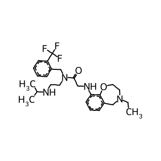 CCN1CCOc2c(cccc2NCC(=O)N(CCNC(C)C)Cc2ccccc2C(F)(F)F)C1